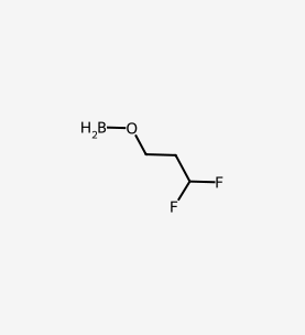 BOCCC(F)F